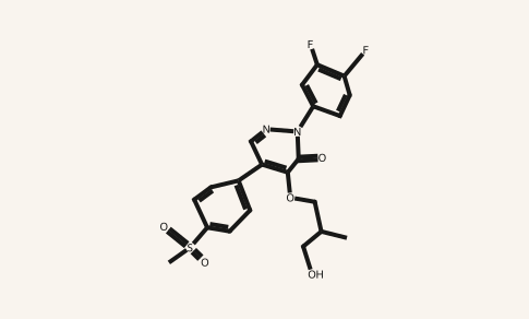 CC(CO)COc1c(-c2ccc(S(C)(=O)=O)cc2)cnn(-c2ccc(F)c(F)c2)c1=O